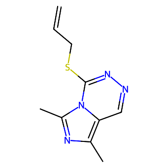 C=CCSc1nncc2c(C)nc(C)n12